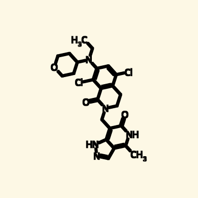 CCN(c1cc(Cl)c2c(c1Cl)C(=O)N(Cc1c(=O)[nH]c(C)c3cn[nH]c13)CC2)C1CCOCC1